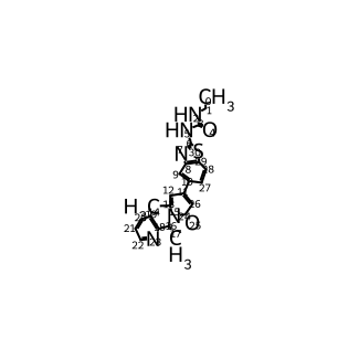 CCNC(=O)Nc1nc2cc(-c3cc(C)n(C(C)c4ccccn4)c(=O)c3)ccc2s1